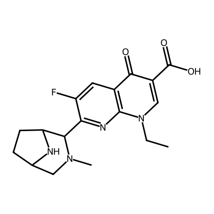 CCn1cc(C(=O)O)c(=O)c2cc(F)c(C3C4CCC(CN3C)N4)nc21